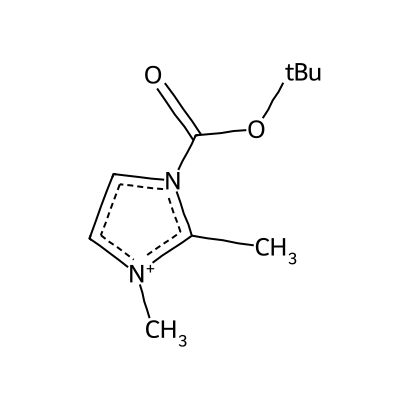 Cc1n(C(=O)OC(C)(C)C)cc[n+]1C